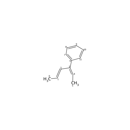 CC=CC(=CC)c1ccccc1